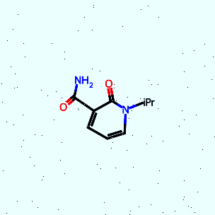 CC(C)n1cccc(C(N)=O)c1=O